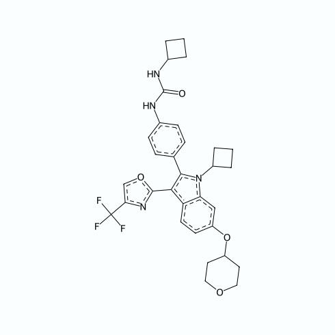 O=C(Nc1ccc(-c2c(-c3nc(C(F)(F)F)co3)c3ccc(OC4CCOCC4)cc3n2C2CCC2)cc1)NC1CCC1